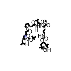 COC(=O)[C@H](CCCNC(=O)OC1CC(C)(C)N(O)C(C)(C)C1)NC(=O)[C@@H](NC(=O)C[C@@H]1CCCN1C(=O)C/C=C/[C@H](CC(C)C)NC(=O)OC(C)(C)C)C(C)C